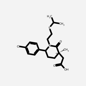 CC(C)SCCN1C(=O)[C@@](C)(CC(=O)O)CCC1c1ccc(Cl)cc1